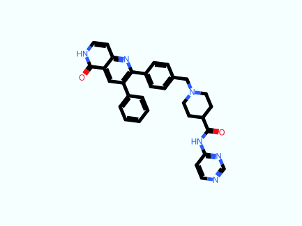 O=C(Nc1ccncn1)C1CCN(Cc2ccc(-c3nc4cc[nH]c(=O)c4cc3-c3ccccc3)cc2)CC1